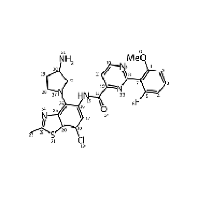 COc1cccc(F)c1-c1nccc(C(=O)Nc2cc(Cl)c3sc(C)nc3c2N2CCC(N)C2)n1